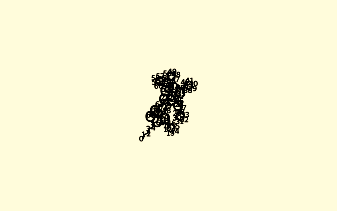 CCCCCCOc1c(OCc2ccccc2)c2ccc(O[C@H]3O[C@H](COCc4ccccc4)[C@@H](OCc4ccccc4)[C@H](OCc4ccccc4)[C@@H]3OCc3ccccc3)cc2oc1=O